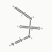 [N-]=[N+]=NS(=O)(=O)N=[N+]=[N-]